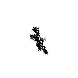 COc1ccc(-n2cnnn2)cc1C(=O)N1CCC(CCN2CCC(NC(=O)N3CCCC(C(=O)O)C3)(c3ccccn3)CC2)(c2ccc(Cl)c(Cl)c2)C1